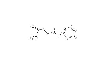 O=C(CCOCc1ccccc1)OCl